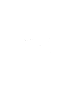 CCCCCC(CC)N=O